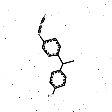 CC(c1ccc(O)cc1)c1ccc(N=C=O)cc1